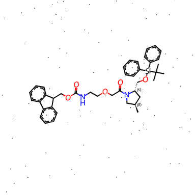 C[C@@H]1C[C@@H](CO[Si](c2ccccc2)(c2ccccc2)C(C)(C)C)N(C(=O)COCCNC(=O)OCC2c3ccccc3-c3ccccc32)C1